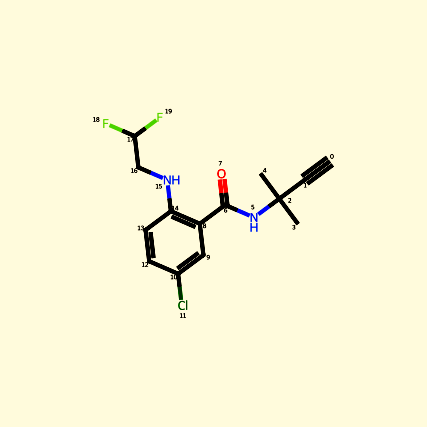 C#CC(C)(C)NC(=O)c1cc(Cl)ccc1NCC(F)F